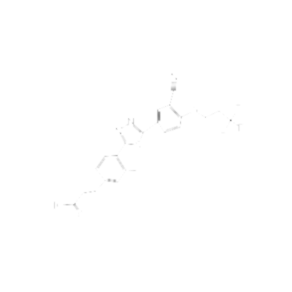 Cc1cc(CCC(=O)O)ccc1-c1nnc(-c2ccc(OCCC(F)(F)F)c(C#N)c2)s1